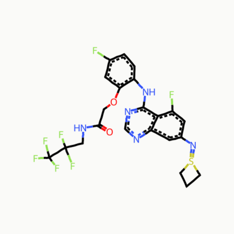 O=C(COc1cc(F)ccc1Nc1ncnc2cc(N=S3CCC3)cc(F)c12)NCC(F)(F)C(F)(F)F